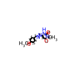 COc1ccc(CN=Nc2cc(=O)n(C)c(=O)[nH]2)cc1